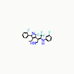 CCC1=C(/C(C=N)=C(/Nc2cccc(F)c2)C(F)(F)F)CN=C1c1ccccc1F